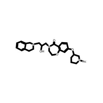 CC(=O)N1CCCC(Oc2ccc3c(c2)OCCN(CC(O)CN2CCc4ccccc4C2)C3=O)C1